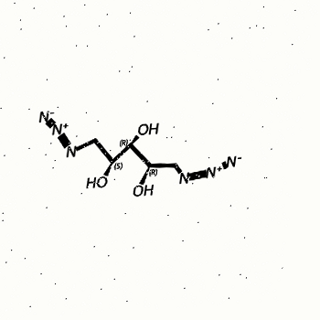 [N-]=[N+]=NC[C@@H](O)[C@H](O)[C@@H](O)CN=[N+]=[N-]